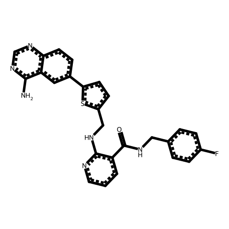 Nc1ncnc2ccc(-c3ccc(CNc4ncccc4C(=O)NCc4ccc(F)cc4)s3)cc12